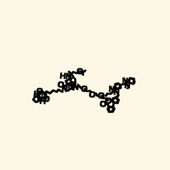 CCCc1nc2ccc(-c3nc4ccccc4n3C)cc2n1Cc1ccc(-c2ccccc2C(=O)OCCOCCOCCOCCn2cc(CN(CCCCCCN3C(=O)[C@@H]4C5CCC(C5)[C@@H]4C3=O)C(=O)CCC(=O)NC(C)(C)CCOC(C)C)nn2)cc1